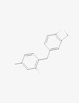 Cc1ccc(Cc2ccc3c(c2)CP3)c(F)c1